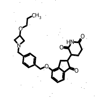 CCCOC1CN(Cc2ccc(COc3cccc4c3CC(C3CCC(=O)NC3=O)C4=O)cc2)C1